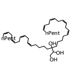 CCCCC/C=C\C/C=C\C/C=C\C/C=C\CCCCC(O)(CCCC/C=C\C/C=C\C/C=C\C/C=C\CCCCC)C(O)CO